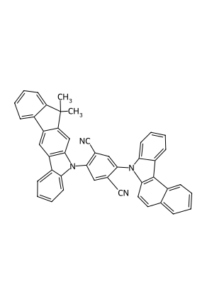 CC1(C)c2ccccc2-c2cc3c4ccccc4n(-c4cc(C#N)c(-n5c6ccccc6c6c7ccccc7ccc65)cc4C#N)c3cc21